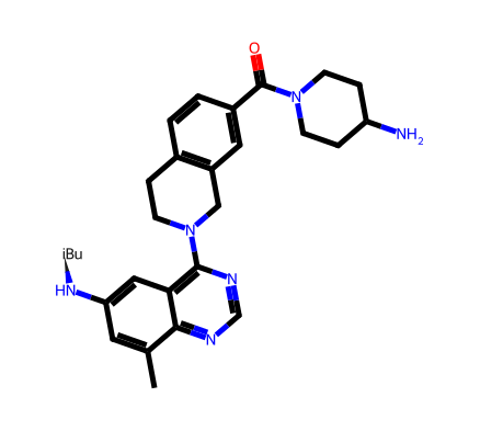 CC[C@H](C)Nc1cc(C)c2ncnc(N3CCc4ccc(C(=O)N5CCC(N)CC5)cc4C3)c2c1